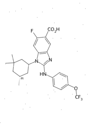 C[C@H]1CC(n2c(Nc3ccc(OC(F)(F)F)cc3)nc3cc(C(=O)O)c(F)cc32)CC(C)(C)C1